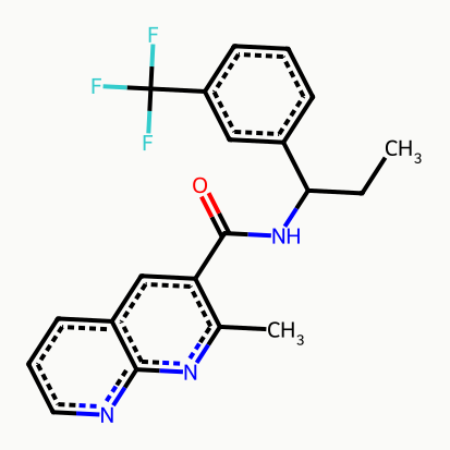 CCC(NC(=O)c1cc2cccnc2nc1C)c1cccc(C(F)(F)F)c1